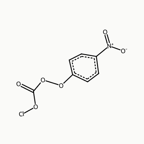 O=C(OCl)OOc1ccc([N+](=O)[O-])cc1